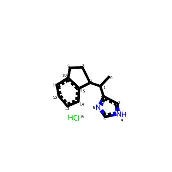 CC(c1c[nH]cn1)C1CCc2ccccc21.Cl